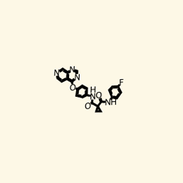 O=C(Nc1ccc(F)cc1)C1(C(=O)Nc2ccc(Oc3ncnc4cnccc34)cc2)CC1